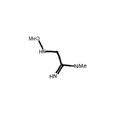 CNC(=N)CNOC